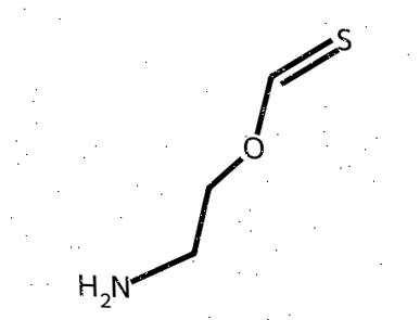 NCCOC=S